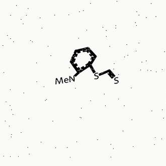 CNc1ccccc1SC=S